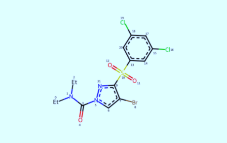 CCN(CC)C(=O)n1cc(Br)c(S(=O)(=O)c2cc(Cl)cc(Cl)c2)n1